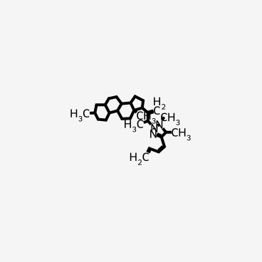 C=C/C=C\C1=NN(C(C)C(=C)C2CCC3C4CCC5CC(C)CCC5C4CCC23C)N(C)C1C